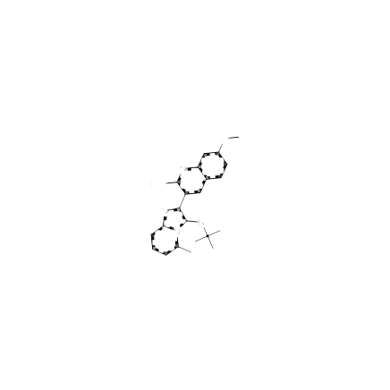 COc1ccc2cc(-c3nc4cccc(C)n4c3NC(C)(C)C)c(O)nc2c1